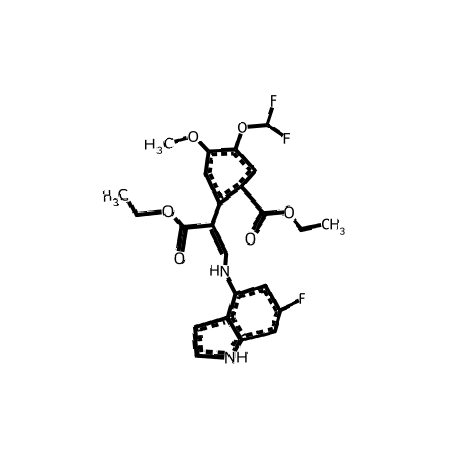 CCOC(=O)/C(=C\Nc1cc(F)cc2[nH]ccc12)c1cc(OC)c(OC(F)F)cc1C(=O)OCC